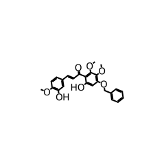 COc1ccc(/C=C/C(=O)c2c(O)cc(OCc3ccccc3)c(OC)c2OC)cc1O